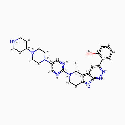 C[C@@H]1c2c([nH]c3nnc(-c4ccccc4O)cc23)CCN1c1ncc(N2CCN(C3CCNCC3)CC2)cn1